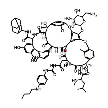 CCCCNc1ccc(NC(=O)NC(=O)C[C@@H]2NC(=O)[C@H](NC(=O)[C@@H](CC(C)C)NC)[C@H](O)c3ccc(c(C)c3)Oc3cc4cc(c3O[C@@H]3O[C@H](CN)[C@@H](O)[C@H](O)[C@H]3O)Oc3ccc(cc3Cl)[C@@H](O)[C@@H]3NC(=O)[C@H](NC(=O)[C@@H]4NC2=O)c2ccc(O)c(c2)-c2c(O)cc(O)cc2[C@@H](C(=O)NC2C4CC5CC(C4)CC2C5)NC3=O)cc1